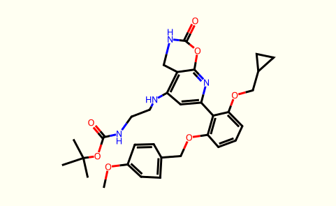 COc1ccc(COc2cccc(OCC3CC3)c2-c2cc(NCCNC(=O)OC(C)(C)C)c3c(n2)OC(=O)NC3)cc1